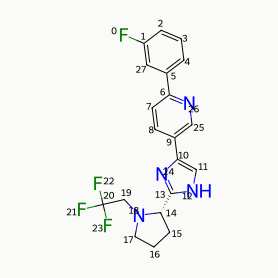 Fc1cccc(-c2ccc(-c3c[nH]c([C@@H]4CCCN4CC(F)(F)F)n3)cn2)c1